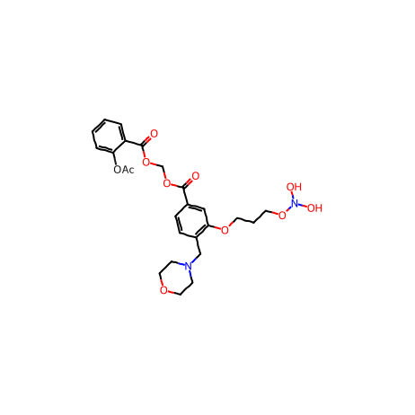 CC(=O)Oc1ccccc1C(=O)OCOC(=O)c1ccc(CN2CCOCC2)c(OCCCON(O)O)c1